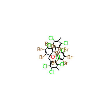 Cc1c(Cl)c(Cl)c(CC2(OC3(Cc4c(Cl)c(Cl)c(C)c(Cl)c4Cl)C(Br)=C(Br)C(Br)=C(Br)C3Br)C(Br)=C(Br)C(Br)=C(Br)C2Br)c(Cl)c1Cl